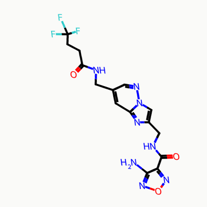 Nc1nonc1C(=O)NCc1cn2ncc(CNC(=O)CCC(F)(F)F)cc2n1